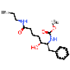 CC(C)(C)CCNC(=O)CCC[C@H](O)[C@H](Cc1ccccc1)NC(=O)OC(C)(C)C